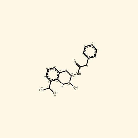 O=C(Cc1ccncc1)N[C@H]1Cc2cccc(C(O)O)c2OB1O